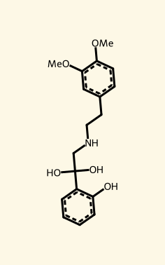 COc1ccc(CCNCC(O)(O)c2ccccc2O)cc1OC